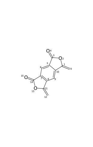 C=C1OC(=O)c2cc3c(cc21)C(=C)OC3=O